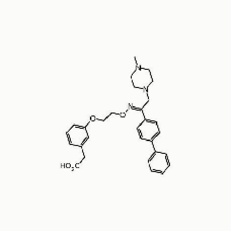 CN1CCN(CC(=NOCCOc2cccc(CC(=O)O)c2)c2ccc(-c3ccccc3)cc2)CC1